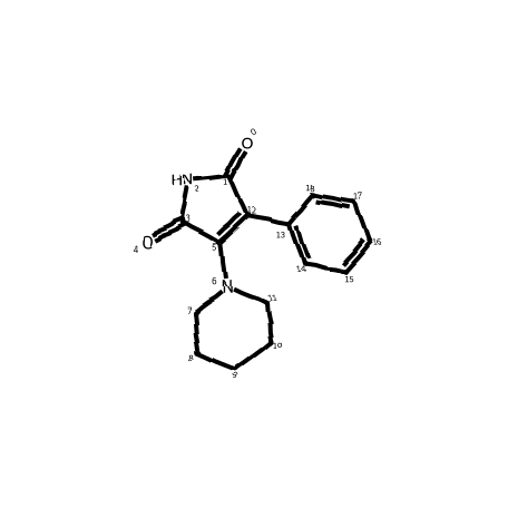 O=C1NC(=O)C(N2CCCCC2)=C1c1ccccc1